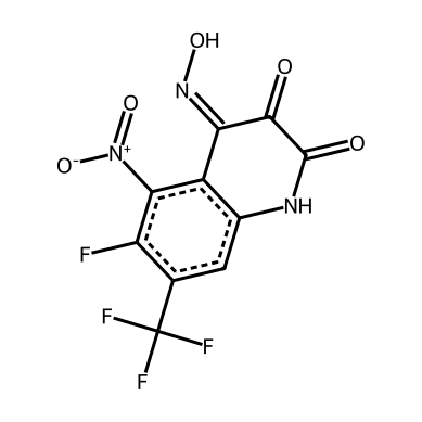 O=C1Nc2cc(C(F)(F)F)c(F)c([N+](=O)[O-])c2C(=NO)C1=O